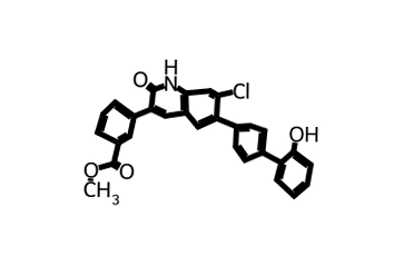 COC(=O)c1cccc(-c2cc3cc(-c4ccc(-c5ccccc5O)cc4)c(Cl)cc3[nH]c2=O)c1